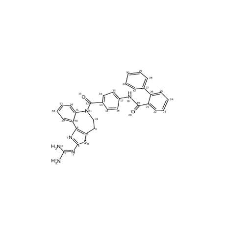 NC(N)=Nc1nc2c(s1)CCN(C(=O)c1ccc(NC(=O)c3ccccc3-c3ccccc3)cc1)c1ccccc1-2